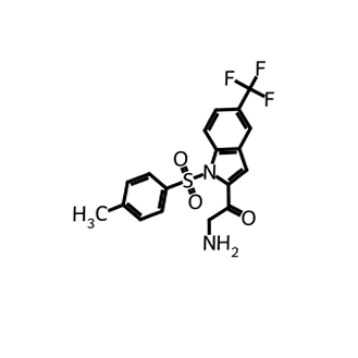 Cc1ccc(S(=O)(=O)n2c(C(=O)CN)cc3cc(C(F)(F)F)ccc32)cc1